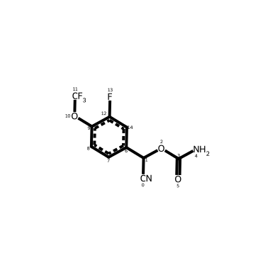 N#CC(OC(N)=O)c1ccc(OC(F)(F)F)c(F)c1